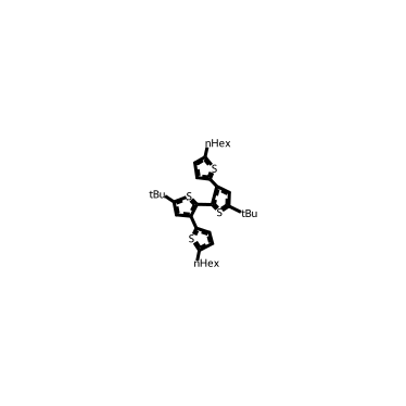 CCCCCCc1ccc(-c2cc(C(C)(C)C)sc2-c2sc(C(C)(C)C)cc2-c2ccc(CCCCCC)s2)s1